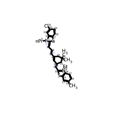 CCCN1/C(=C/C=C/C2=CC(=C/c3sc4cc(C)ccc4[n+]3CC)/CC(C)(C)C2)Sc2ccc(Cl)cc21